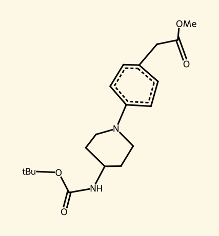 COC(=O)Cc1ccc(N2CCC(NC(=O)OC(C)(C)C)CC2)cc1